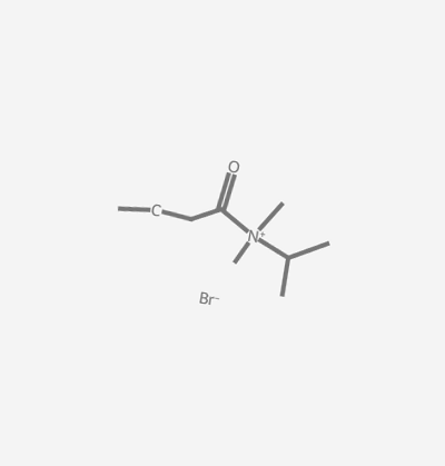 CCCC(=O)[N+](C)(C)C(C)C.[Br-]